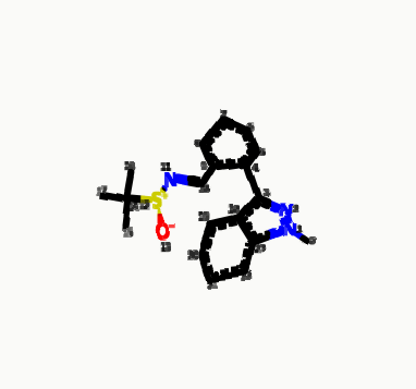 Cn1nc(-c2ccccc2C=N[S@@+]([O-])C(C)(C)C)c2ccccc21